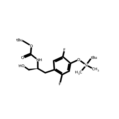 CC(C)(C)OC(=O)N[C@H](CO)Cc1cc(F)c(O[Si](C)(C)C(C)(C)C)cc1F